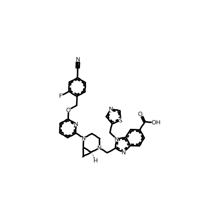 N#Cc1ccc(COc2cccc(N3CCN(Cc4nc5ccc(C(=O)O)cc5n4Cc4cncs4)[C@H]4CC43)n2)c(F)c1